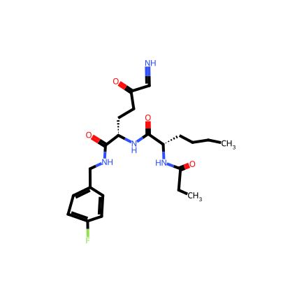 CCCC[C@H](NC(=O)CC)C(=O)N[C@@H](CCC(=O)C=N)C(=O)NCc1ccc(F)cc1